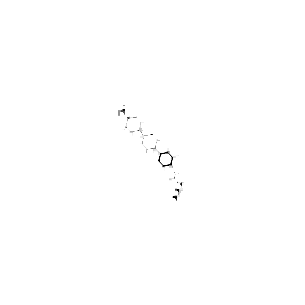 CCNC1CCC(C2CCC(c3ccc(OCN=[N+]=[N-])cc3)CC2)CC1